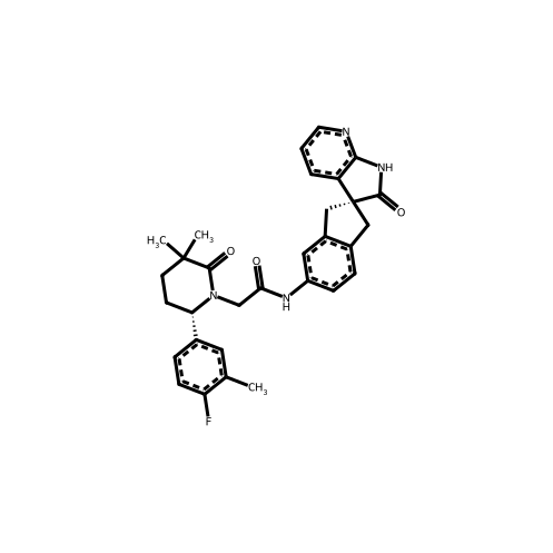 Cc1cc([C@@H]2CCC(C)(C)C(=O)N2CC(=O)Nc2ccc3c(c2)C[C@@]2(C3)C(=O)Nc3ncccc32)ccc1F